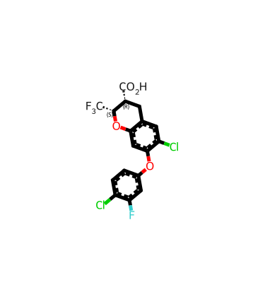 O=C(O)[C@@H]1Cc2cc(Cl)c(Oc3ccc(Cl)c(F)c3)cc2O[C@@H]1C(F)(F)F